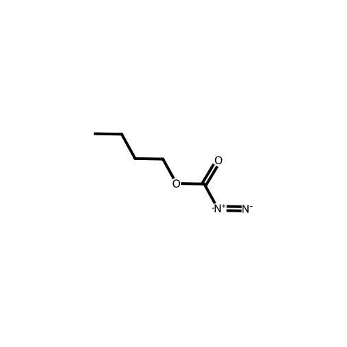 CCCCOC(=O)[N+]=[N-]